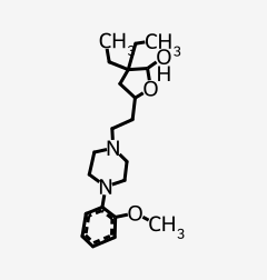 CCC1(CC)CC(CCN2CCN(c3ccccc3OC)CC2)OC1O